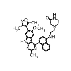 COc1cc2c(cc1-c1c(C)noc1C)[nH]c1nc(C)nc(-c3ccc(NCCN4CCNC(=O)C4)c4ccccc34)c12